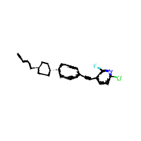 CCCC[C@H]1CC[C@H](c2ccc(C#Cc3ccc(Cl)nc3F)cc2)CC1